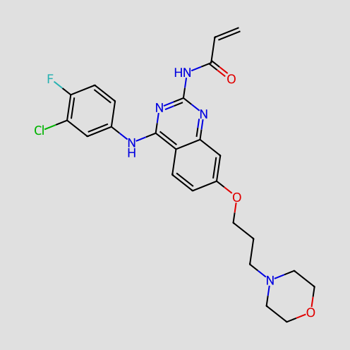 C=CC(=O)Nc1nc(Nc2ccc(F)c(Cl)c2)c2ccc(OCCCN3CCOCC3)cc2n1